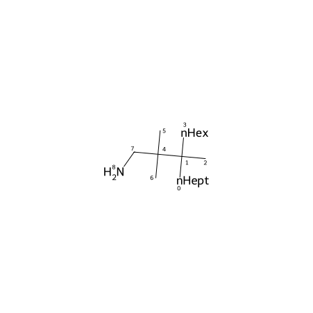 CCCCCCCC(C)(CCCCCC)C(C)(C)CN